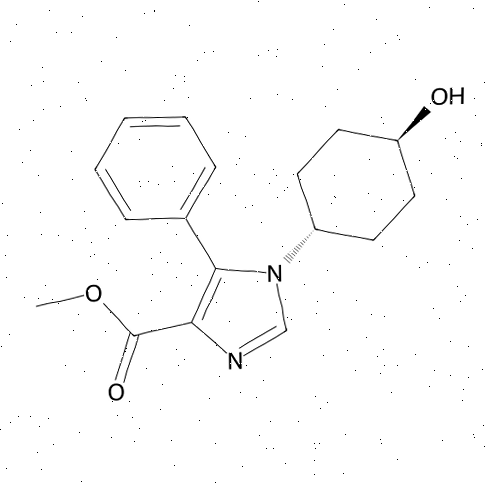 COC(=O)c1ncn([C@H]2CC[C@H](O)CC2)c1-c1ccccc1